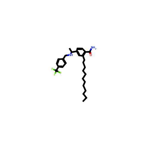 CCCCCCCCCCCCc1cc(C(C)NCc2ccc(C(F)(F)F)cc2)ccc1C(N)=O